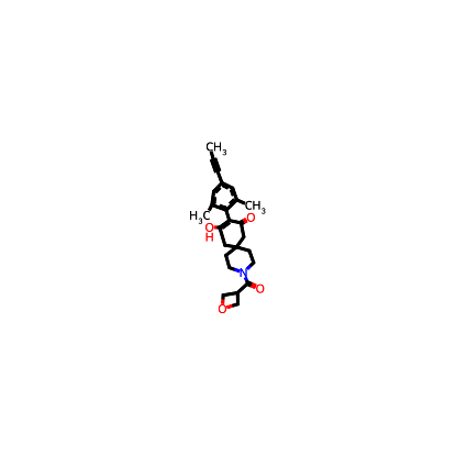 CC#Cc1cc(C)c(C2=C(O)CC3(CCN(C(=O)C4COC4)CC3)CC2=O)c(C)c1